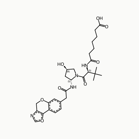 CC(C)(C)[C@H](NC(=O)CCCCCC(=O)O)C(=O)N1C[C@H](O)C[C@H]1NC(=O)Cc1ccc2c(c1)OCc1ncoc1-2